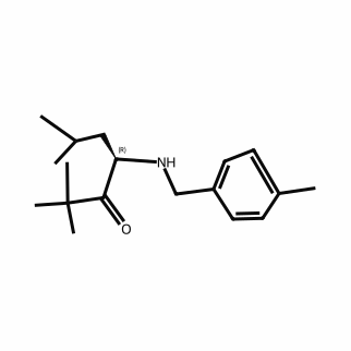 Cc1ccc(CN[C@H](CC(C)C)C(=O)C(C)(C)C)cc1